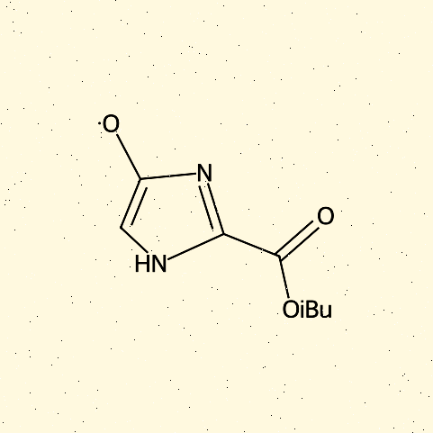 CC(C)COC(=O)c1nc([O])c[nH]1